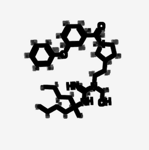 CCCCC(C)(CCCC)NC(=N)N(CO)CCC1CCN(C(=O)c2cccc(Oc3ccccc3)c2)C1